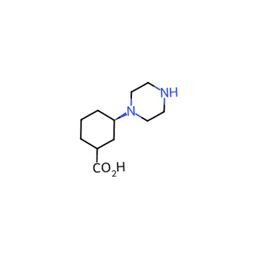 O=C(O)C1CCC[C@@H](N2CCNCC2)C1